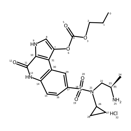 CCCOC(=O)Oc1c[nH]c2c(=O)[nH]c3ccc(S(=O)(=O)N(C[C@@H](C)N)C4CC4)cc3c12.Cl